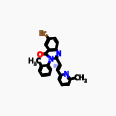 Cc1cccc(/C=C/c2nc3ccc(Br)cc3c(=O)n2-c2ccccc2C)n1